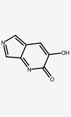 O=C1N=C2C=NC=C2C=C1O